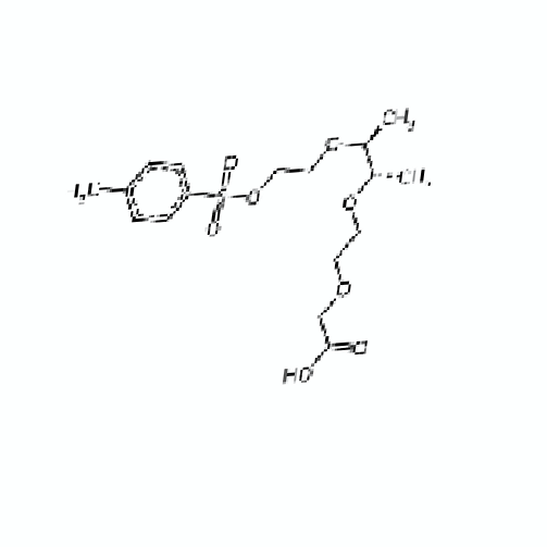 Cc1ccc(S(=O)(=O)OCCO[C@@H](C)[C@H](C)OCCOCC(=O)O)cc1